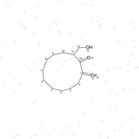 C=C1CCCCCCCCCC(CO)C1=O